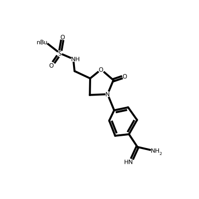 CCCCS(=O)(=O)NCC1CN(c2ccc(C(=N)N)cc2)C(=O)O1